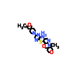 C[C@H]1CC2(CCN(c3cnc(Sc4ccnc5c4OCC4(CCOCC4)N5C)c(N)n3)CC2)CO1